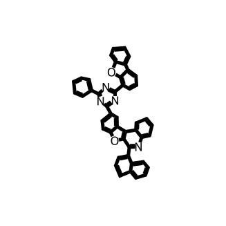 c1ccc(-c2nc(-c3ccc4oc5c(-c6cccc7ccccc67)nc6ccccc6c5c4c3)nc(-c3cccc4c3oc3ccccc34)n2)cc1